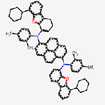 Cc1ccc(N(C2=CCCc3c2oc2c(C4CCCCC4)cccc32)c2ccc3ccc4c(N(c5ccc(C)cc5C)c5cccc6c5oc5c(C7CCCCC7)cccc56)ccc5ccc2c3c54)c(C)c1